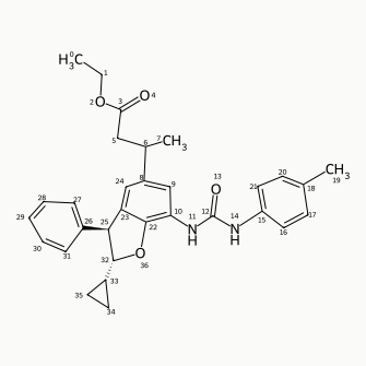 CCOC(=O)CC(C)c1cc(NC(=O)Nc2ccc(C)cc2)c2c(c1)[C@H](c1ccccc1)[C@@H](C1CC1)O2